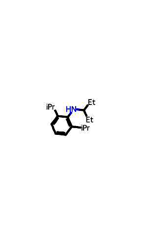 CCC(CC)Nc1c(C(C)C)cccc1C(C)C